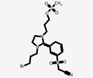 CS(=O)(=O)OCCCN1CCN(CCCBr)C1=C1C=C(S(=O)(=O)CC#N)C=CC1